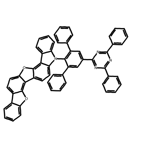 c1ccc(-c2nc(-c3ccccc3)nc(-c3cc(-c4ccccc4)c(-n4c5ccccc5c5c6oc7ccc8c9ccccc9oc8c7c6ccc54)c(-c4ccccc4)c3)n2)cc1